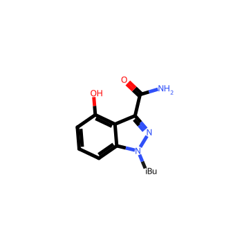 CCC(C)n1nc(C(N)=O)c2c(O)cccc21